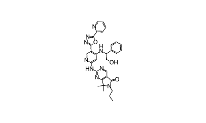 CCCN1C(=O)c2cnc(Nc3cc(N[C@H](CO)c4ccccc4)c(-c4nnc(-c5ccccn5)o4)cn3)nc2C1(C)C